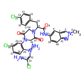 Cn1cc2cc(NC(=O)C(Cc3ccc(Cl)cc3)N3CC(=O)N(c4cc(Cl)ccc4N(N)/C=C(\N)Cl)CC3=O)ccc2n1